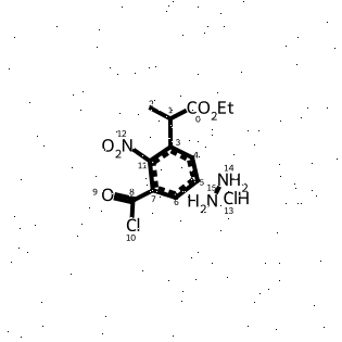 CCOC(=O)C(C)c1cccc(C(=O)Cl)c1[N+](=O)[O-].Cl.NN